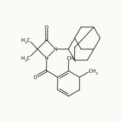 CC1=C(C(=O)N2N(C3C4CC5CC(C4)CC3C5)C(=O)C2(C)C)C=CCC1C